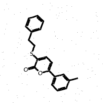 Cc1cccc(-c2ccc(SCCc3ccccc3)c(=O)o2)c1